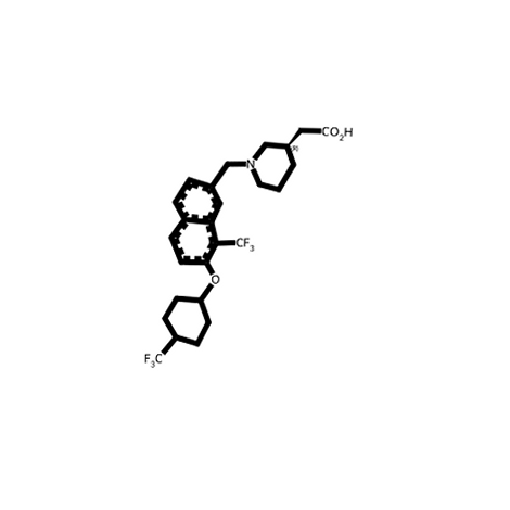 O=C(O)C[C@H]1CCCN(Cc2ccc3ccc(OC4CCC(C(F)(F)F)CC4)c(C(F)(F)F)c3c2)C1